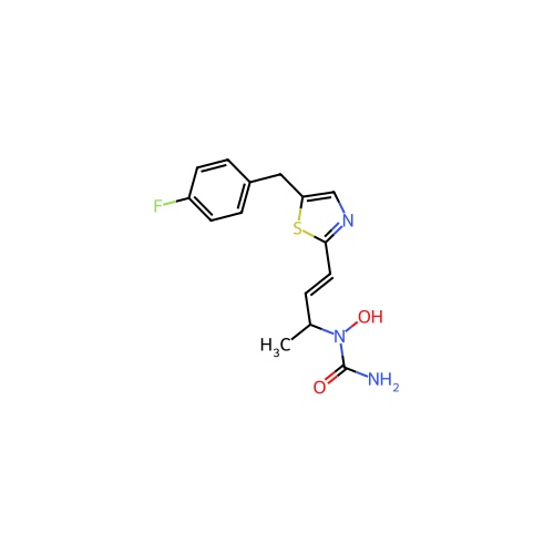 CC(C=Cc1ncc(Cc2ccc(F)cc2)s1)N(O)C(N)=O